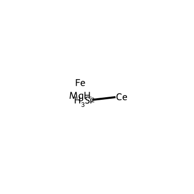 [Fe].[MgH2].[SiH3][Ce]